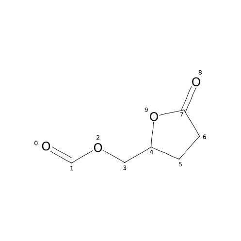 O=COCC1CCC(=O)O1